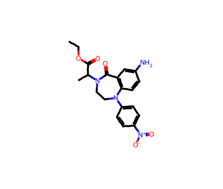 CCOC(=O)C(C)N1CCN(c2ccc([N+](=O)[O-])cc2)c2ccc(N)cc2C1=O